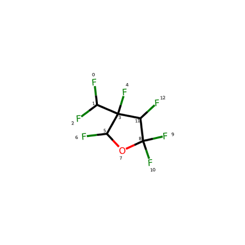 FC(F)C1(F)C(F)OC(F)(F)C1F